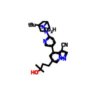 CC(C)(O)CCc1cc(-c2ccc(N3CC4CC(C(C)(C)C)(C3)N4C(=O)O)nc2)c2c(C#N)cnn2c1